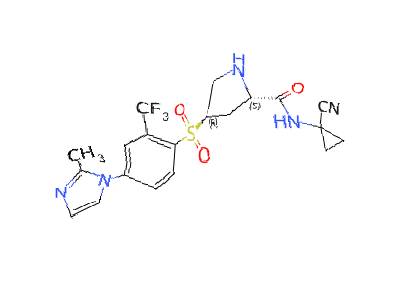 Cc1nccn1-c1ccc(S(=O)(=O)[C@H]2CN[C@H](C(=O)NC3(C#N)CC3)C2)c(C(F)(F)F)c1